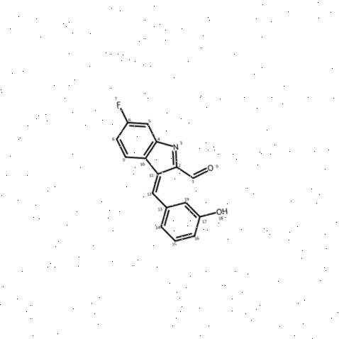 O=CC1=Nc2cc(F)ccc2C1=Cc1cccc(O)c1